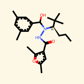 CCC[C@@H](N(NC(=O)c1cc(C)oc1C)C(O)c1cc(C)cc(C)c1)C(C)(C)C